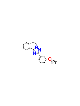 CC(C)Oc1cccc(-c2nc3n(n2)CCc2ccccc2-3)c1